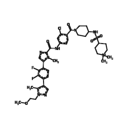 COCCn1ncc(-c2ccc(-c3cnc(C(=O)Nc4ccc(C(=O)N5CCC(NS(=O)(=O)C6CC[N+](C)(C)CC6)CC5)c(Cl)c4)n3C)c(F)c2F)c1C